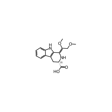 COCC(OC)=C1N[C@H](C(=O)O)Cc2c1[nH]c1ccccc21